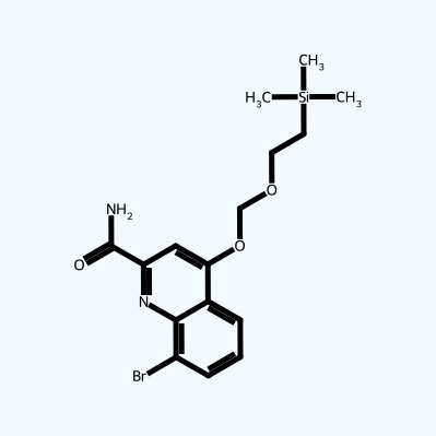 C[Si](C)(C)CCOCOc1cc(C(N)=O)nc2c(Br)cccc12